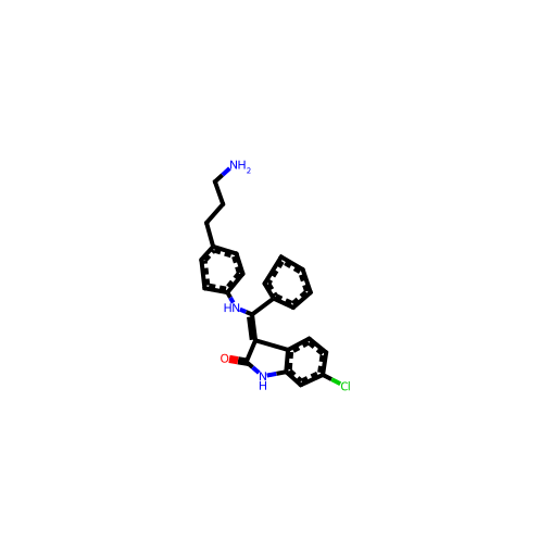 NCCCc1ccc(N/C(=C2\C(=O)Nc3cc(Cl)ccc32)c2ccccc2)cc1